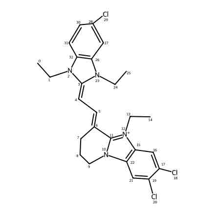 CCN1C(=CC=C2CCCn3c2[n+](CC)c2cc(Cl)c(Cl)cc23)N(CC)c2cc(Cl)ccc21